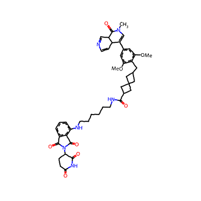 COc1cc(C2=CN(C)C(=O)C3C=NC=CC23)cc(OC)c1CC1CC2(C1)CC(C(=O)NCCCCCCNc1cccc3c1C(=O)N(C1CCC(=O)NC1=O)C3=O)C2